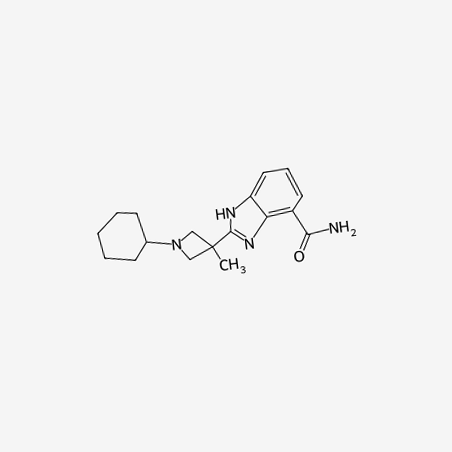 CC1(c2nc3c(C(N)=O)cccc3[nH]2)CN(C2CCCCC2)C1